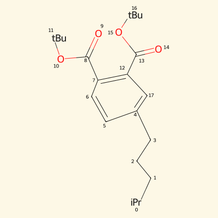 CC(C)CCCc1ccc(C(=O)OC(C)(C)C)c(C(=O)OC(C)(C)C)c1